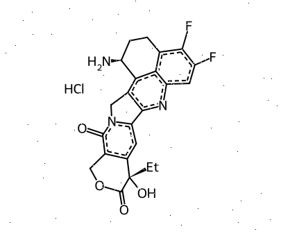 CC[C@@]1(O)C(=O)OCc2c1cc1n(c2=O)Cc2c-1nc1cc(F)c(F)c3c1c2[C@@H](N)CC3.Cl